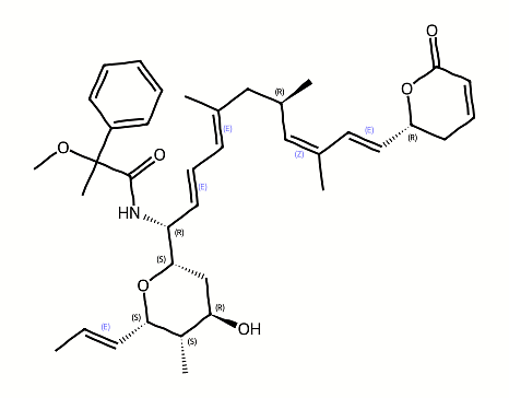 C/C=C/[C@@H]1O[C@H]([C@@H](/C=C/C=C(\C)C[C@@H](C)/C=C(C)\C=C\[C@H]2CC=CC(=O)O2)NC(=O)C(C)(OC)c2ccccc2)C[C@@H](O)[C@@H]1C